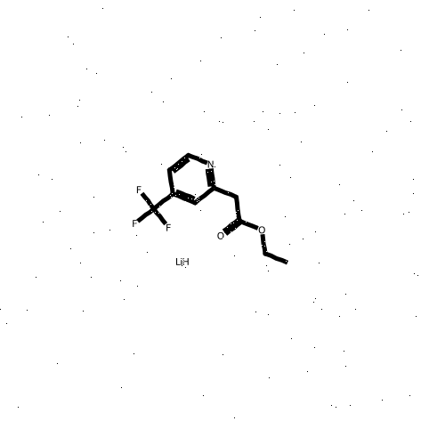 CCOC(=O)Cc1cc(C(F)(F)F)ccn1.[LiH]